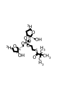 [3H][C@H]1C[C@@H](O)[C@@H](CO[P@](=O)(OCCSC(=O)C(C)(C)C)O[C@@H]2C[C@H]([3H])O[C@@H]2CO)O1